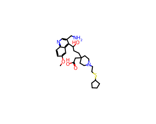 COc1ccc2ncc(CN)c(C(O)CCC3(CC(=O)O)CCN(CCSC4CCCC4)CC3)c2c1